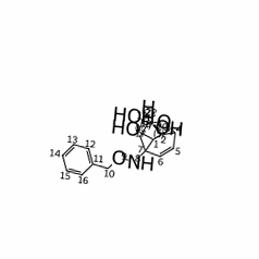 OC1[C@H](O)C2C=CC1(NOCc1ccccc1)C[C@H](O)O2